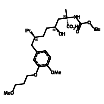 COCCCOc1cc(C[C@H](CC[C@H](O)C[C@@](C)(NC(=O)OC(C)(C)C)C(=O)O)C(C)C)ccc1OC